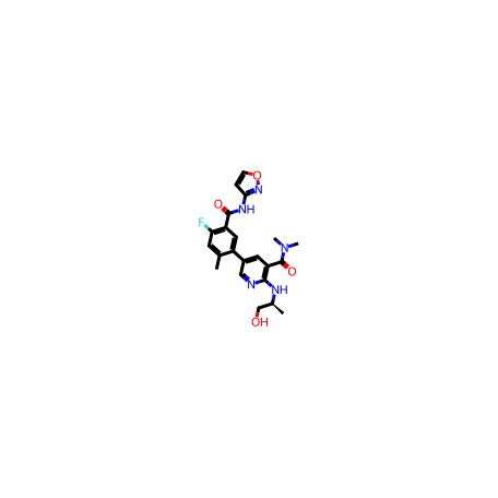 Cc1cc(F)c(C(=O)Nc2ccon2)cc1-c1cnc(N[C@@H](C)CO)c(C(=O)N(C)C)c1